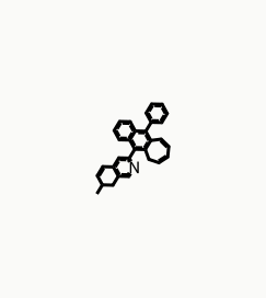 CC1C=Cc2cc(-c3c4c(c(-c5ccccc5)c5ccccc35)C=CC=CC4)ncc2C1